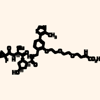 Cc1ncsc1-c1ccc(CNC(=O)[C@@H]2C[C@@H](O)CN2C(=O)[C@@H](NC(=O)C2(F)CC2)C(C)(C)C)c(OCCOCCOCCNC(=O)O)c1